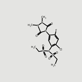 CCS(=O)(=O)N(c1cc(-n2c(=O)n(C)n(C)c2=S)c(F)cc1Cl)S(=O)(=O)CC